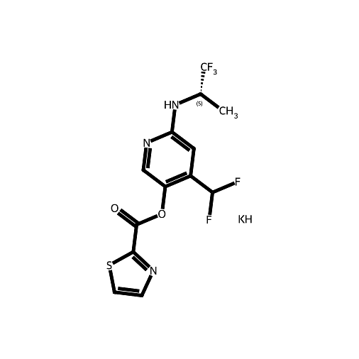 C[C@H](Nc1cc(C(F)F)c(OC(=O)c2nccs2)cn1)C(F)(F)F.[KH]